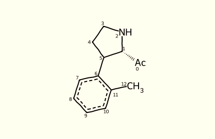 CC(=O)[C@H]1NCCC1c1ccccc1C